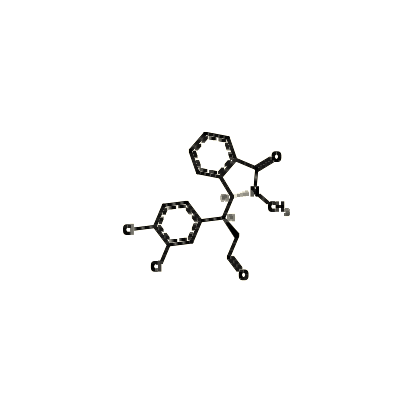 CN1C(=O)c2ccccc2[C@H]1[C@@H](CC=O)c1ccc(Cl)c(Cl)c1